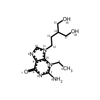 CCn1c(N)nc(=O)c2ncn(CCC(CO)CO)c21